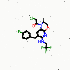 C[C@H]1COc2nc(NCC(F)(F)F)c(Cc3ccc(F)cc3)cc2N1C(=O)CCl